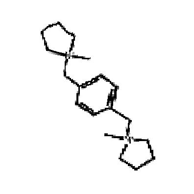 C[N+]1(Cc2ccc(C[N+]3(C)CCCC3)cc2)CCCC1